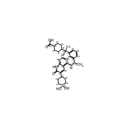 CC(Nc1ncnc2[nH]c(=O)c(C3CCS(O)(O)CC3)cc12)c1cccc(C(F)(F)C2CCN(C(=O)O)CC2)c1